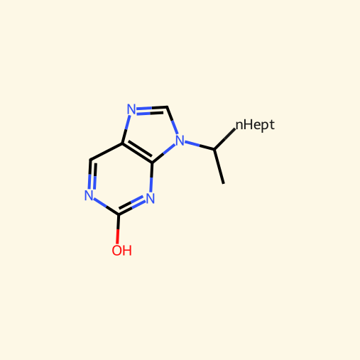 CCCCCCCC(C)n1cnc2cnc(O)nc21